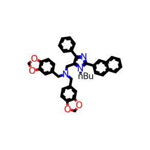 CCCCn1c(-c2ccc3ccccc3c2)nc(-c2ccccc2)c1CN(Cc1ccc2c(c1)OCO2)Cc1ccc2c(c1)OCO2